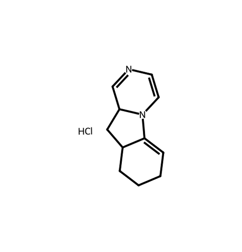 C1=CN2C3=CCCCC3CC2C=N1.Cl